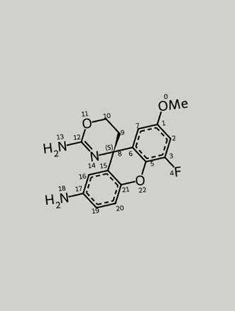 COc1cc(F)c2c(c1)[C@]1(CCOC(N)=N1)c1cc(N)ccc1O2